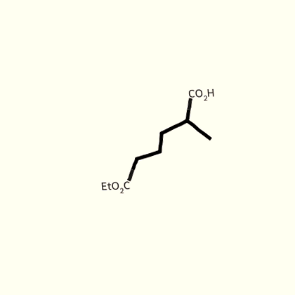 CCOC(=O)CCCC(C)C(=O)O